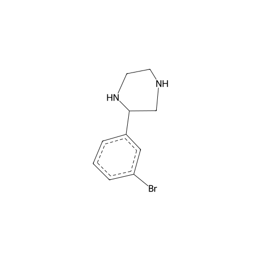 Brc1cccc(C2CNCCN2)c1